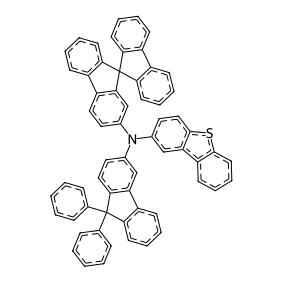 c1ccc(C2(c3ccccc3)c3ccccc3-c3cc(N(c4ccc5c(c4)C4(c6ccccc6-c6ccccc64)c4ccccc4-5)c4ccc5sc6ccccc6c5c4)ccc32)cc1